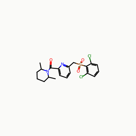 CC1CCCC(C)N1C(=O)c1cccc(CS(=O)(=O)c2c(Cl)cccc2Cl)n1